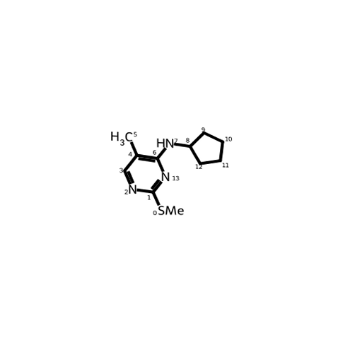 CSc1ncc(C)c(NC2CCCC2)n1